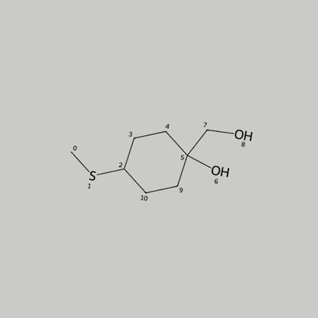 CSC1CCC(O)(CO)CC1